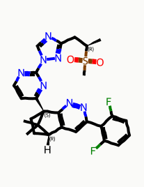 C[C@H](Cc1ncn(-c2nccc([C@@]34CC[C@@H](c5cc(-c6c(F)cccc6F)nnc53)C4(C)C)n2)n1)S(C)(=O)=O